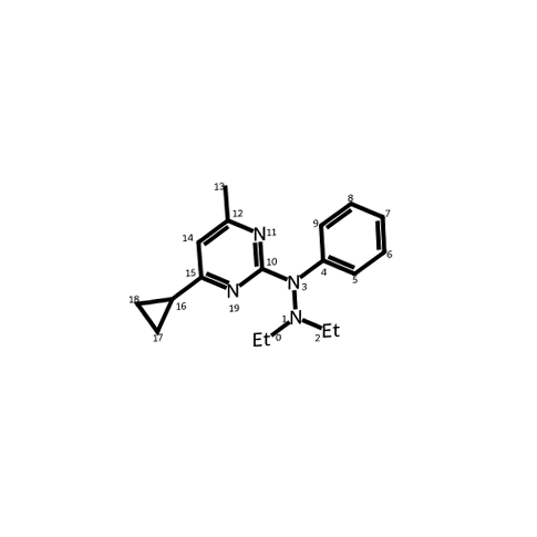 CCN(CC)N(c1ccccc1)c1nc(C)cc(C2CC2)n1